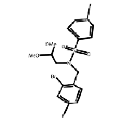 COC(CN(Cc1ccc(F)cc1Br)S(=O)(=O)c1ccc(C)cc1)OC